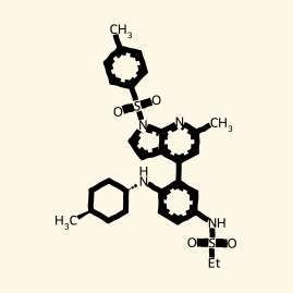 CCS(=O)(=O)Nc1ccc(N[C@H]2CC[C@H](C)CC2)c(-c2cc(C)nc3c2ccn3S(=O)(=O)c2ccc(C)cc2)c1